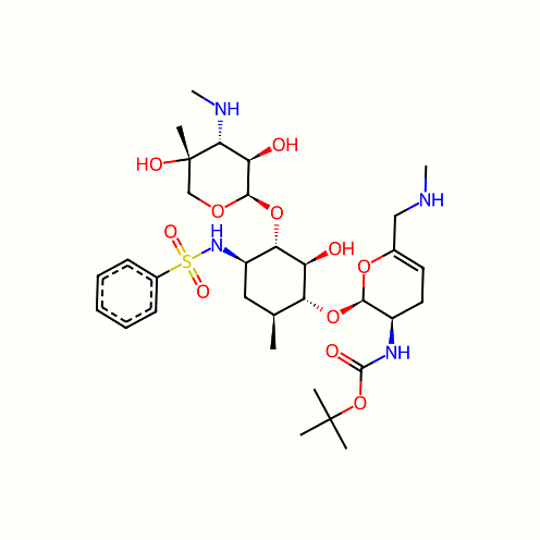 CNCC1=CC[C@@H](NC(=O)OC(C)(C)C)[C@@H](O[C@H]2[C@H](O)[C@@H](O[C@H]3OC[C@](C)(O)[C@H](NC)[C@H]3O)[C@H](NS(=O)(=O)c3ccccc3)C[C@@H]2C)O1